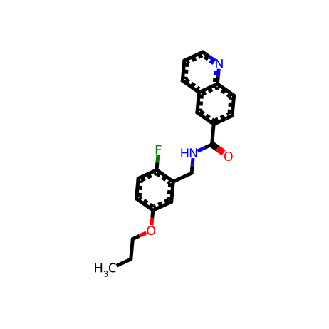 CCCOc1ccc(F)c(CNC(=O)c2ccc3ncccc3c2)c1